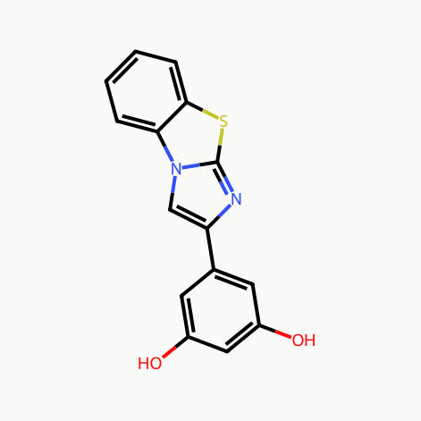 Oc1cc(O)cc(-c2cn3c(n2)sc2ccccc23)c1